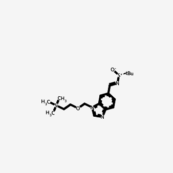 CC(C)(C)[S@@+]([O-])/N=C/c1ccc2ncn(COCC[Si](C)(C)C)c2c1